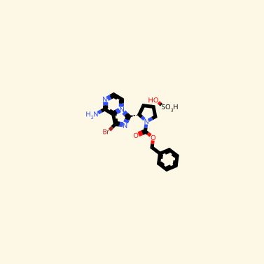 Nc1nccn2c([C@@H]3CCCN3C(=O)OCc3ccccc3)nc(Br)c12.O=S(=O)(O)O